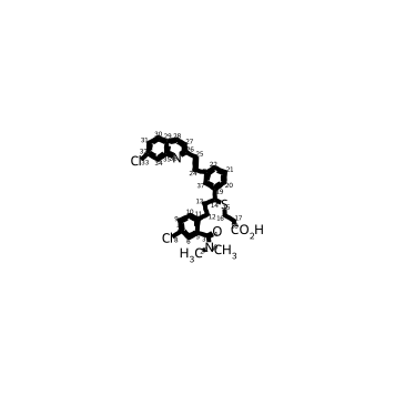 CN(C)C(=O)c1cc(Cl)ccc1CCC(SCCC(=O)O)c1cccc(C=Cc2ccc3ccc(Cl)cc3n2)c1